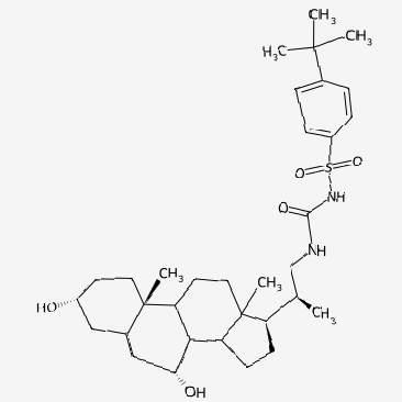 C[C@H](CNC(=O)NS(=O)(=O)c1ccc(C(C)(C)C)cc1)[C@H]1CCC2C3C(CCC21C)[C@@]1(C)CC[C@@H](O)CC1C[C@H]3O